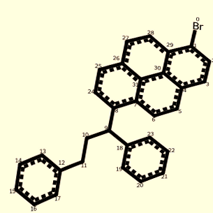 Brc1ccc2ccc3c(C(CCc4ccccc4)c4ccccc4)ccc4ccc1c2c43